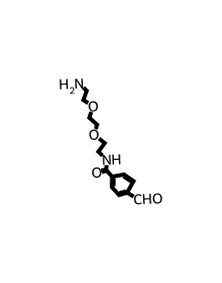 NCCOCCOCCNC(=O)c1ccc(C=O)cc1